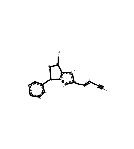 N#C/C=C/c1nc2n(n1)C(c1ccccc1)CC2F